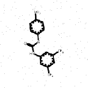 O=C(Nc1cc(C(F)(F)F)cc(C(F)(F)F)c1)Oc1ccc([N+](=O)[O-])cc1